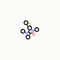 O=c1c2c3ccccc3n(-c3ccccc3)c2c2cc3c(cc2n1-c1ccccc1)sc1ccccc13